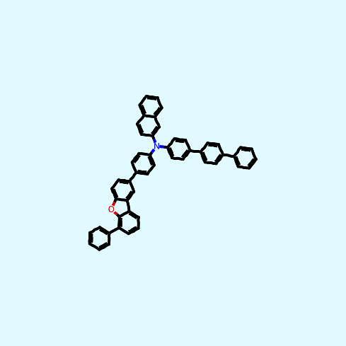 c1ccc(-c2ccc(-c3ccc(N(c4ccc(-c5ccc6oc7c(-c8ccccc8)cccc7c6c5)cc4)c4ccc5ccccc5c4)cc3)cc2)cc1